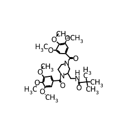 COc1cc(C(=O)N2CCN(C(=O)c3cc(OC)c(OC)c(OC)c3)C(CNC(=O)C(C)(C)C)C2)cc(OC)c1OC